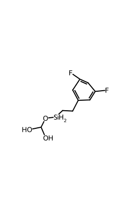 OC(O)O[SiH2]CCc1cc(F)cc(F)c1